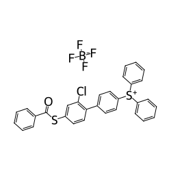 F[B-](F)(F)F.O=C(Sc1ccc(-c2ccc([S+](c3ccccc3)c3ccccc3)cc2)c(Cl)c1)c1ccccc1